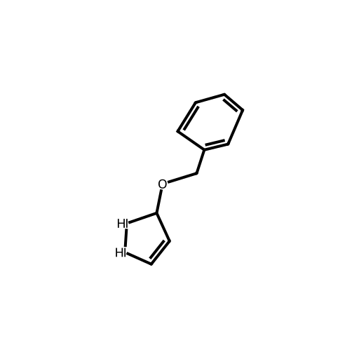 C1=CC(OCc2ccccc2)[IH][IH]1